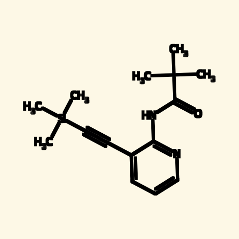 CC(C)(C)C(=O)Nc1ncccc1C#C[Si](C)(C)C